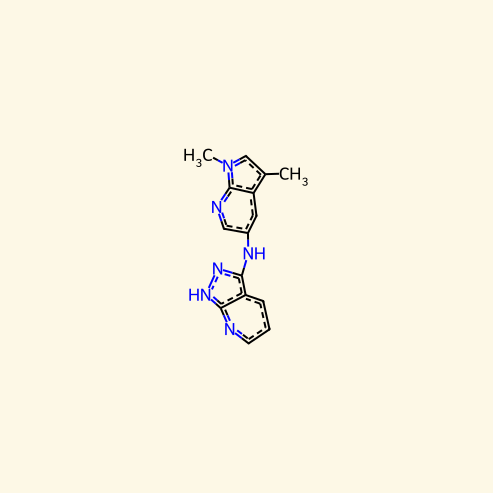 Cc1cn(C)c2ncc(Nc3n[nH]c4ncccc34)cc12